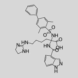 Cc1cc(-c2ccccc2)cc(C)c1S(=O)(=O)NC(CCCCNC1=NCCN1)(NC(=O)c1cccc2[nH]ncc12)C(=O)O